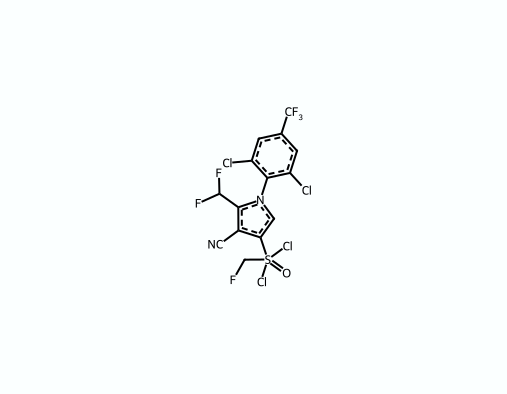 N#Cc1c(S(=O)(Cl)(Cl)CF)cn(-c2c(Cl)cc(C(F)(F)F)cc2Cl)c1C(F)F